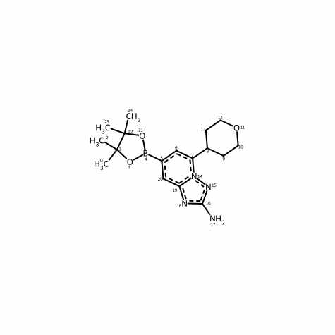 CC1(C)OB(c2cc(C3CCOCC3)n3nc(N)nc3c2)OC1(C)C